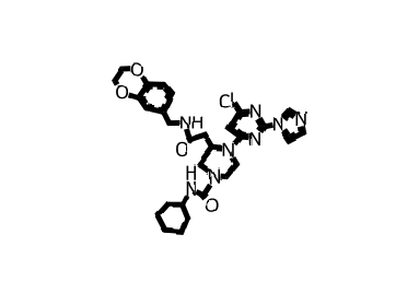 O=C(CC1CN(C(=O)NC2CCCCC2)CCN1c1cc(Cl)nc(-n2ccnc2)n1)NCc1ccc2c(c1)OCCO2